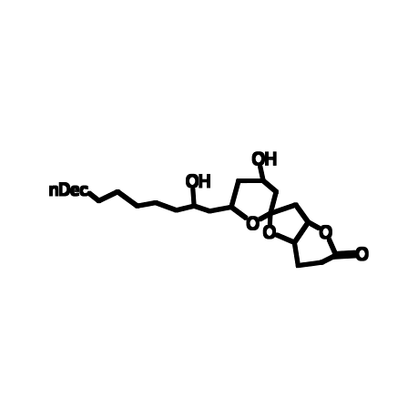 CCCCCCCCCCCCCCCC(O)CC1CC(O)CC2(CC3OC(=O)CCC3O2)O1